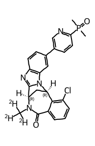 [2H]C([2H])([2H])N1C(=O)c2cccc(Cl)c2[C@H]2C[C@@H]1c1nc3ccc(-c4ccc(P(C)(C)=O)nc4)cc3n12